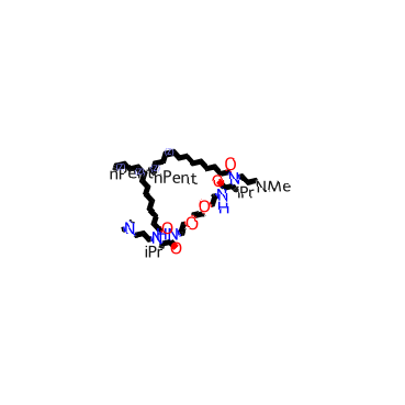 CCCCC/C=C\C/C=C\CCCCCCCC(=O)N(CCCNC)C(C(=O)NCCOCCOCCNC(=O)C(C(C)C)N(CCCN(C)C)C(=O)CCCCCCC/C=C\C/C=C\CCCCC)C(C)C